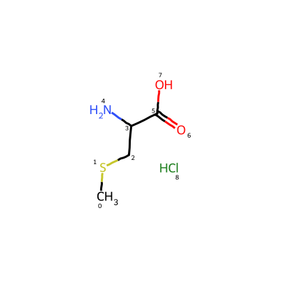 CSCC(N)C(=O)O.Cl